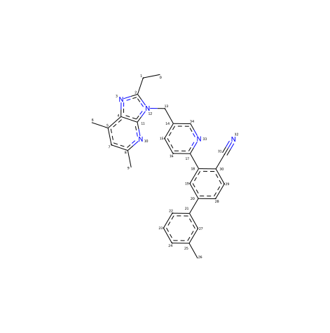 CCc1nc2c(C)cc(C)nc2n1Cc1ccc(-c2cc(-c3cccc(C)c3)ccc2C#N)nc1